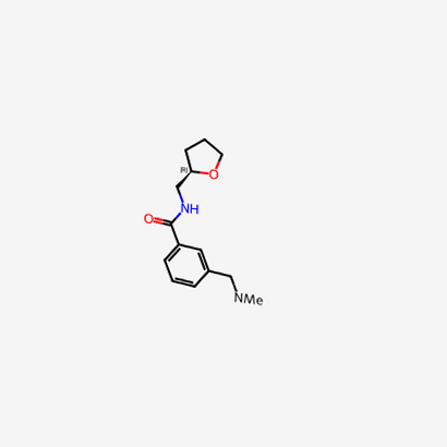 CNCc1cccc(C(=O)NC[C@H]2CCCO2)c1